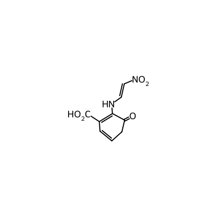 O=C(O)C1=C(NC=C[N+](=O)[O-])C(=O)CC=C1